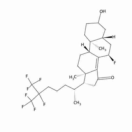 C[C@H](CCCC(F)(C(F)(F)F)C(F)(F)F)[C@H]1CC(=O)C2=C3[C@H](F)C[C@H]4CC(O)CC[C@]4(C)[C@H]3CC[C@@]21C